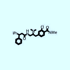 CNC(=O)c1ccc(CC(CNC(=O)CC(c2ccccc2)C(C)C)N(C)C)cc1Cl